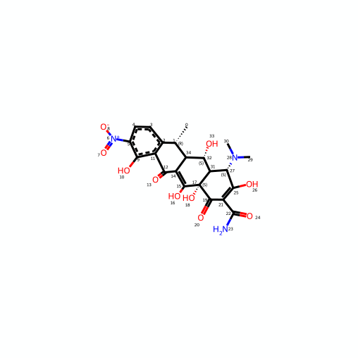 C[C@H]1c2ccc([N+](=O)[O-])c(O)c2C(=O)C2=C(O)[C@]3(O)C(=O)C(C(N)=O)=C(O)[C@@H](N(C)C)C3[C@@H](O)C21